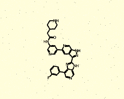 O=C(CC1CCNCC1)Nc1cncc(-c2cc3c(-c4nc5c(-c6cccc(F)c6)cncc5[nH]4)n[nH]c3cn2)c1